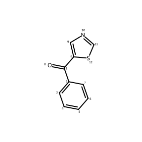 O=C(c1ccccc1)c1cncs1